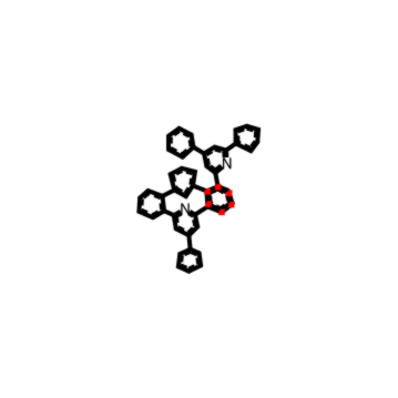 c1ccc(-c2cc(-c3ccccc3)nc(-c3ccccc3-c3cccc(-c4ccccc4-c4cc(-c5ccccc5)cc(-c5ccccc5)n4)c3)c2)cc1